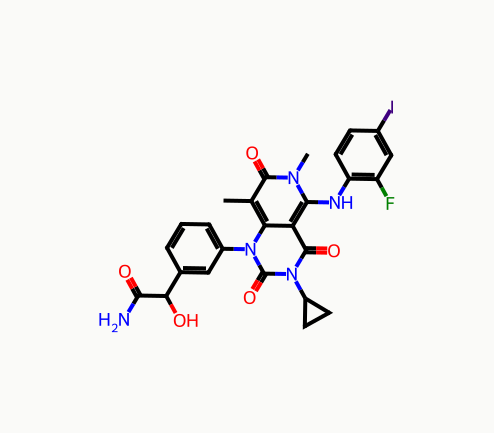 Cc1c(=O)n(C)c(Nc2ccc(I)cc2F)c2c(=O)n(C3CC3)c(=O)n(-c3cccc(C(O)C(N)=O)c3)c12